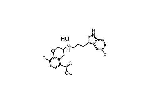 COC(=O)c1ccc(F)c2c1CC(NCCCc1c[nH]c3ccc(F)cc13)CO2.Cl